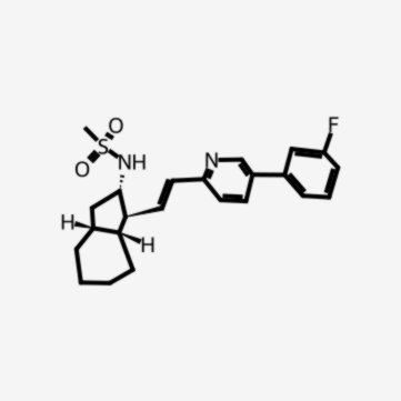 CS(=O)(=O)N[C@H]1C[C@H]2CCCC[C@H]2[C@@H]1/C=C/c1ccc(-c2cccc(F)c2)cn1